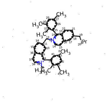 Cc1cc(C)c(C)c(-c2c3cc(C[n+]4ccc5cc(CC(C)C)ccc5c4-c4cc(C)cc(C)c4C)ccc3cc[n+]2C)c1